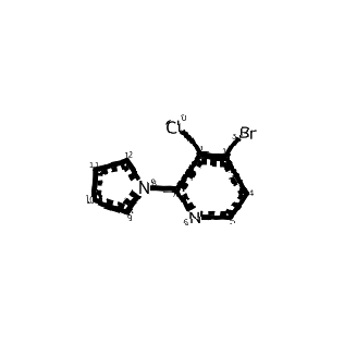 Clc1c(Br)ccnc1-n1[c]ccc1